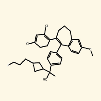 COc1ccc2c(c1)CCCC(C1=C(Cl)C=C(Cl)CC1)=C2c1ccc(C(C)(O)C2CN(CCCF)C2)cc1